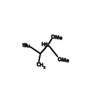 CO[SiH](OC)C(C)C(C)(C)C